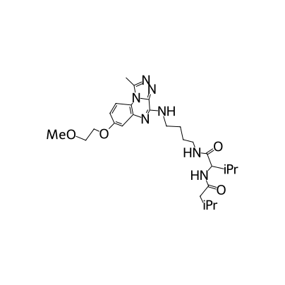 COCCOc1ccc2c(c1)nc(NCCCCNC(=O)C(NC(=O)CC(C)C)C(C)C)c1nnc(C)n12